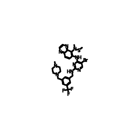 CSN(C)c1c(Nc2nc(NCc3cc(CN4CCN(C)CC4)cc(C(F)(F)F)c3)ncc2Br)ccc2nccnc12